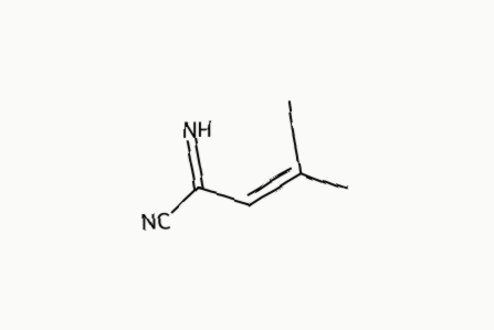 CC(C)=CC(=N)C#N